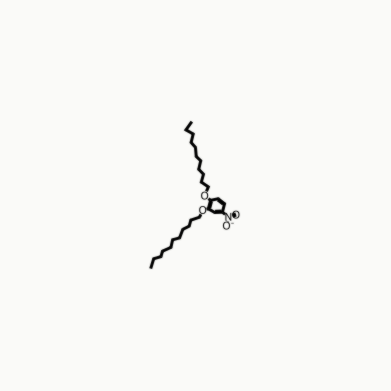 CCCCCCCCCCCOc1ccc([N+](=O)[O-])cc1OCCCCCCCCCCC